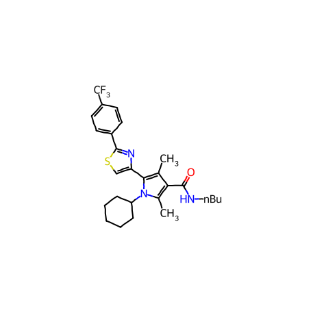 CCCCNC(=O)c1c(C)c(-c2csc(-c3ccc(C(F)(F)F)cc3)n2)n(C2CCCCC2)c1C